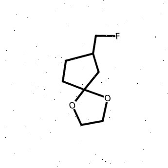 FCC1CCC2(C1)OCCO2